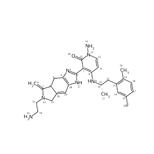 C=C1C2Cc3nc(-c4c(N[C@@H](C)Cc5cc(F)ccc5C)ccn(N)c4=O)[nH]c3C=C2CN1CCN